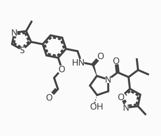 Cc1cc(C(C(=O)N2C[C@H](O)C[C@H]2C(=O)NCc2ccc(-c3scnc3C)cc2OCC=O)C(C)C)on1